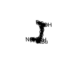 CC(C)(C)C(NC(=O)COCCOCCOCCOc1ccc(Oc2c(-c3ccc(F)cc3)sc3cc(O)ccc23)cc1)C(=O)N1CCC[C@H]1C(=O)NCc1ccc(C#N)cc1